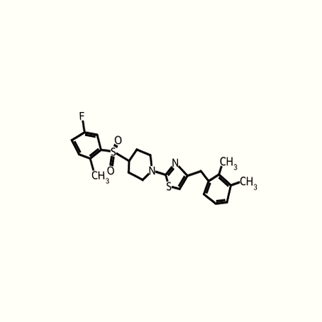 Cc1ccc(F)cc1S(=O)(=O)C1CCN(c2nc(Cc3cccc(C)c3C)cs2)CC1